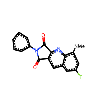 CNc1cc(F)cc2cc3c(nc12)C(=O)N(c1ccccc1)C3=O